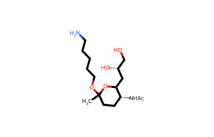 CC(=O)N[C@@H]1CCC(C)(OCCCCCN)OC1C[C@H](O)CO